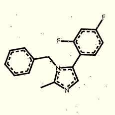 Cc1ncc(-c2ccc(F)cc2F)n1Cc1ccccc1